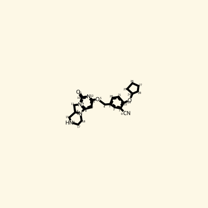 N#Cc1cc(COc2cc3n(c(=O)n2)CC2CNCCN32)ccc1OC1CCCC1